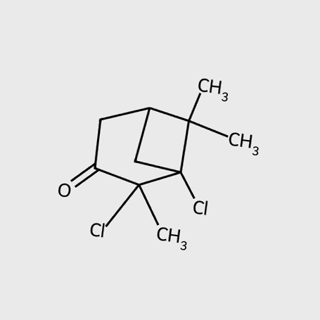 CC1(Cl)C(=O)CC2CC1(Cl)C2(C)C